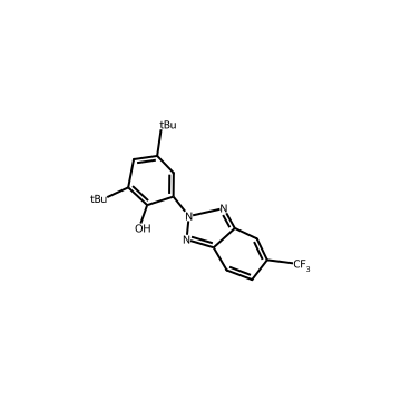 CC(C)(C)c1cc(-n2nc3ccc(C(F)(F)F)cc3n2)c(O)c(C(C)(C)C)c1